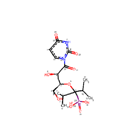 CC(C)C(O[C@@H](CO)[C@@H](O)C(=O)n1ccc(=O)[nH]c1=O)(C(C)C)P(=O)(O)O